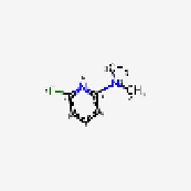 CN(C)c1cc[c]c(F)n1